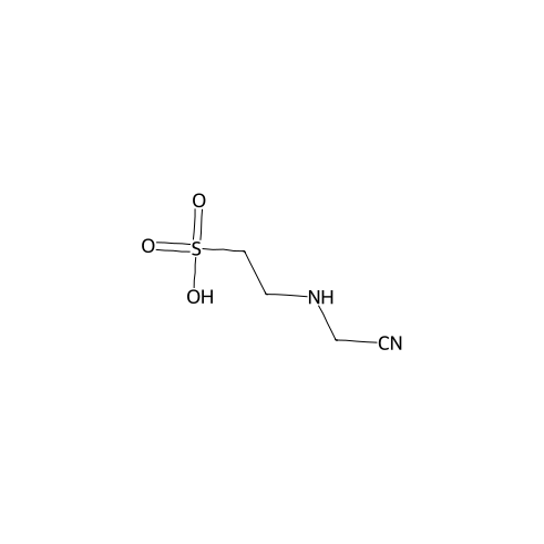 N#CCNCCS(=O)(=O)O